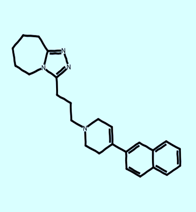 C1=C(c2ccc3ccccc3c2)CCN(CCCc2nnc3n2CCCCC3)C1